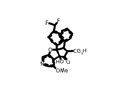 COc1cncc2c1C1(O)C(=O)C(C(=O)O)C(c3ccccc3)C1(c1ccc(C(F)F)cc1)O2